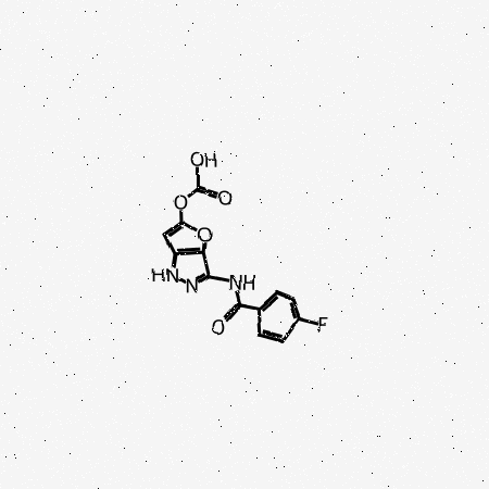 O=C(O)Oc1cc2[nH]nc(NC(=O)c3ccc(F)cc3)c2o1